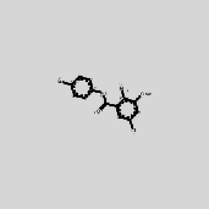 COc1cc(Cl)cc(C(=O)Nc2ccc(Br)cc2)c1N